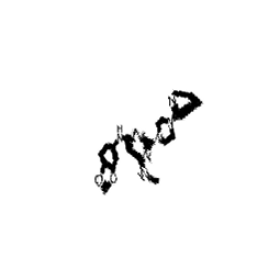 CN(C)c1cc(NC2=CC3OCOC3C=C2)nc(N2CCN(c3ccccn3)CC2)n1